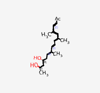 CC(=O)/C=C/C(C)=CC(C)=C/C=C/C(C)=C/C[C@@H](O)C[C@H](C)O